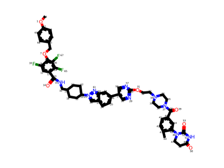 COc1ccc(COc2c(F)cc(C(=O)NCC3CCC(n4cc5ccc(-c6cnc(OCCN7CCN(C(=O)c8ccc(C)c(N9CCC(=O)NC9=O)c8)CC7)nc6)cc5n4)CC3)c(F)c2F)cc1